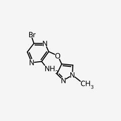 Cn1cc(Oc2nc(Br)cnc2N)cn1